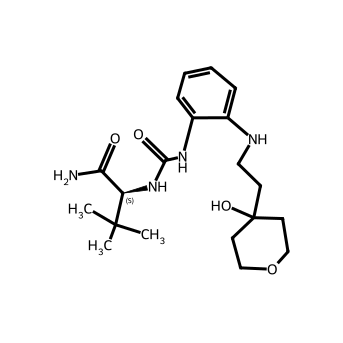 CC(C)(C)[C@H](NC(=O)Nc1ccccc1NCCC1(O)CCOCC1)C(N)=O